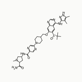 Cc1[nH]nc(Nc2ncnc3cc(OCC4CCN(c5cnc(C(=O)NC6CC(C(N)=O)N(C)C6)cn5)CC4)c([S+]([O-])C(C)(C)C)cc23)c1C